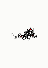 Cc1cc(OC(F)(F)F)ccc1Nc1cc(-c2nc(N3CCNCC3)c3c(C4CC4)cncc3n2)ccn1